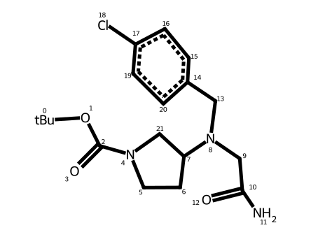 CC(C)(C)OC(=O)N1CCC(N(CC(N)=O)Cc2ccc(Cl)cc2)C1